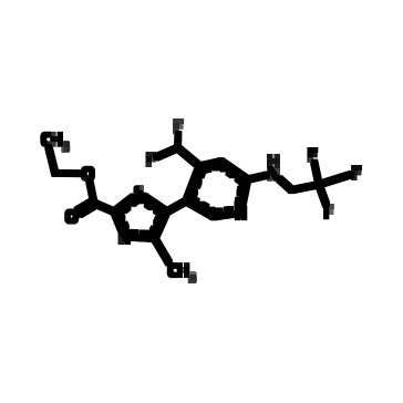 CCOC(=O)c1nc(C)c(-c2cnc(NCC(F)(F)F)cc2C(F)F)s1